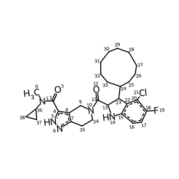 CN(C(=O)c1[nH]nc2c1CN(C(=O)C1Nc3ccc(F)c(Cl)c3C1C1CCCCCCCCC1)CC2)C1CC1